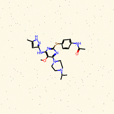 COc1c(Nc2cc(C)[nH]n2)nc(Sc2ccc(NC(C)=O)cc2)nc1N1CCN(C(C)C)CC1